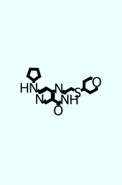 O=c1[nH]c(CSC2CCOCC2)nc2cc(NC3CCCC3)ncc12